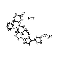 Cl.O=C(O)c1cc(-c2cnc([C@@H]3CCc4nc(-c5cc(Cl)ccc5-n5cnnn5)cc(=O)n43)[nH]2)cs1